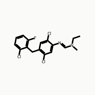 CCN(C)C=Nc1cc(Cl)c(Cc2c(F)cccc2Cl)cc1Cl